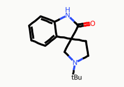 CC(C)(C)N1CCC2(C1)C(=O)Nc1ccccc12